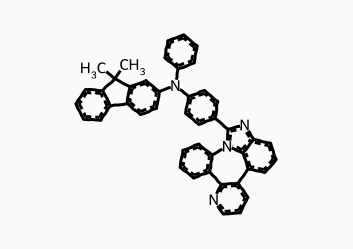 CC1(C)c2ccccc2-c2ccc(N(c3ccccc3)c3ccc(-c4nc5cccc6c5n4-c4ccccc4-c4ncccc4-6)cc3)cc21